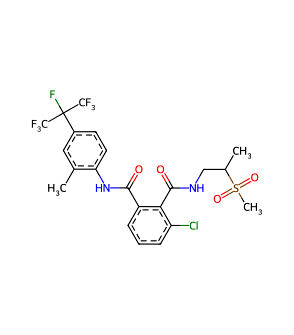 Cc1cc(C(F)(C(F)(F)F)C(F)(F)F)ccc1NC(=O)c1cccc(Cl)c1C(=O)NCC(C)S(C)(=O)=O